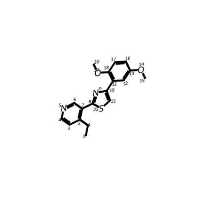 CCc1ccncc1-c1nc(-c2cc(OC)ccc2OC)cs1